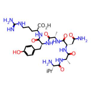 CC(C)[C@H](N)C(=O)N[C@@H](C)C(=O)N[C@@H](CC(N)=O)C(=O)N[C@@H](C)C(=O)N[C@@H](Cc1ccc(O)cc1)C(=O)N[C@@H](CCCNC(=N)N)C(=O)O